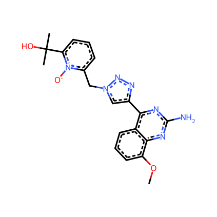 COc1cccc2c(-c3cn(Cc4cccc(C(C)(C)O)[n+]4[O-])nn3)nc(N)nc12